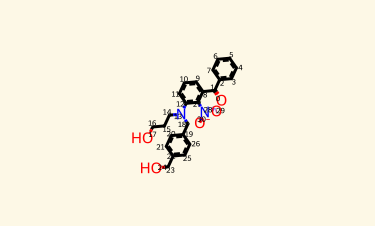 O=C(c1ccccc1)c1cccc(N(CCCO)Cc2ccc(CO)cc2)c1[N+](=O)[O-]